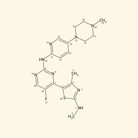 CNc1nc(C)c(-c2nc(Nc3ccc(N4CCN(C)CC4)cn3)ncc2F)s1